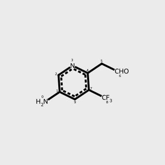 Nc1cnc(CC=O)c(C(F)(F)F)c1